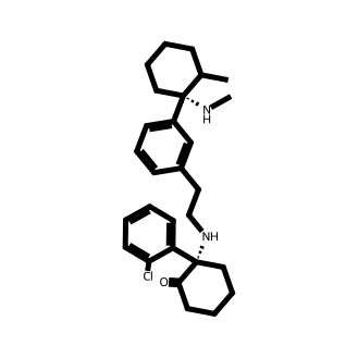 CN[C@]1(c2cccc(CCN[C@]3(c4ccccc4Cl)CCCCC3=O)c2)CCCCC1C